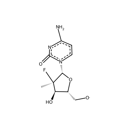 C[C@@]1(F)[C@H](O)[C@@H](C[O])O[C@H]1n1ccc(N)nc1=O